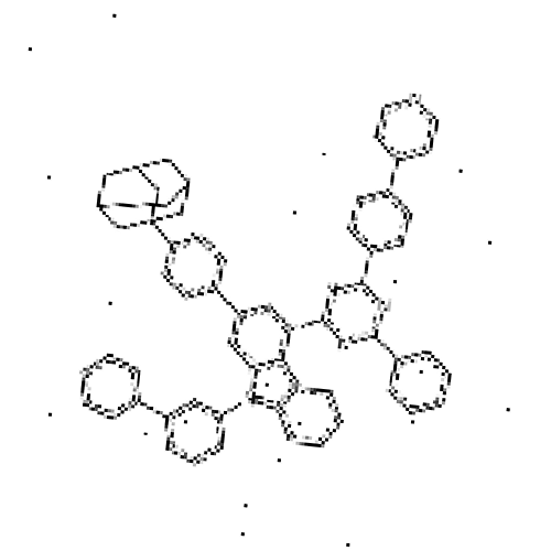 c1ccc(-c2cccc(-n3c4ccccc4c4c(-c5nc(-c6ccccc6)nc(-c6ccc(-c7ccncc7)cc6)n5)cc(-c5ccc(C67CC8CC(CC(C8)C6)C7)cc5)cc43)c2)cc1